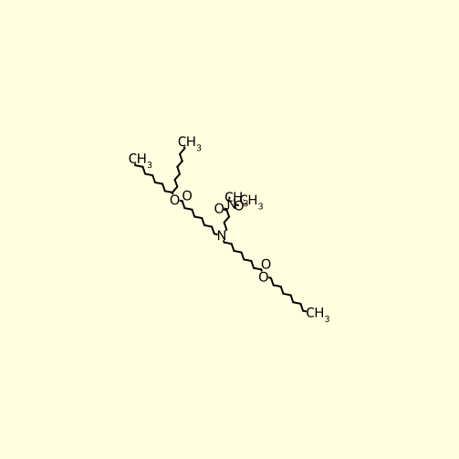 CCCCCCCCCOC(=O)CCCCCCCN(CCCCCCCC(=O)OC(CCCCCCCC)CCCCCCCC)CCCC(=O)N(C)OC